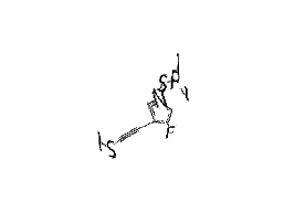 Fc1cn(SP(I)I)cc1C#CSI